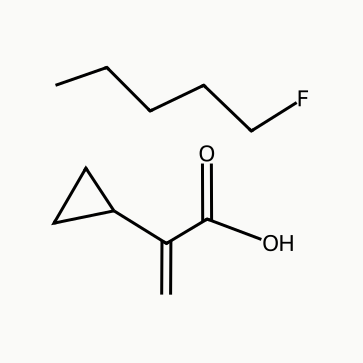 C=C(C(=O)O)C1CC1.CCCCCF